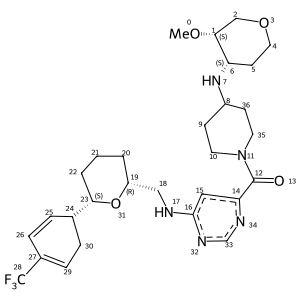 CO[C@@H]1COCC[C@@H]1NC1CCN(C(=O)c2cc(NC[C@H]3CCC[C@@H](C4C=CC(C(F)(F)F)=CC4)O3)ncn2)CC1